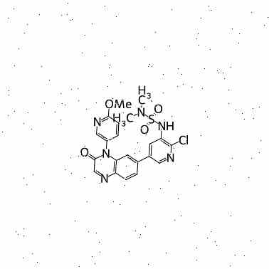 COc1ccc(-n2c(=O)cnc3ccc(-c4cnc(Cl)c(NS(=O)(=O)N(C)C)c4)cc32)cn1